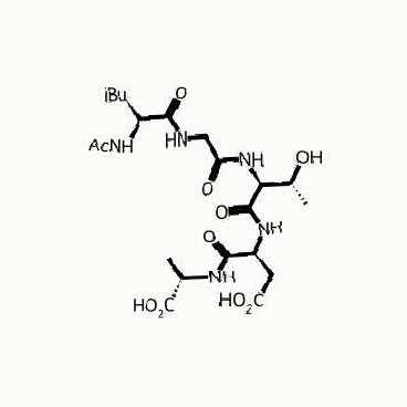 CC[C@H](C)[C@H](NC(C)=O)C(=O)NCC(=O)N[C@H](C(=O)N[C@@H](CC(=O)O)C(=O)N[C@@H](C)C(=O)O)[C@@H](C)O